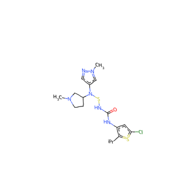 CC(C)c1sc(Cl)cc1NC(=O)NSN(c1cnn(C)c1)C1CCN(C)C1